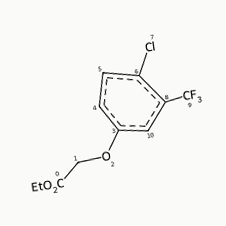 CCOC(=O)COc1ccc(Cl)c(C(F)(F)F)c1